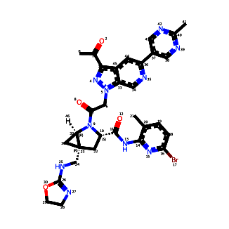 CC(=O)c1nn(CC(=O)N2[C@H](C(=O)Nc3nc(Br)ccc3C)C[C@@]3(CNC4=NCCO4)C[C@@H]23)c2cnc(-c3cnc(C)nc3)cc12